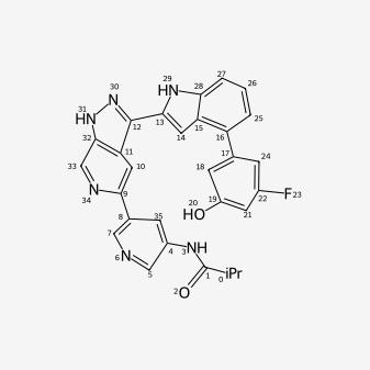 CC(C)C(=O)Nc1cncc(-c2cc3c(-c4cc5c(-c6cc(O)cc(F)c6)cccc5[nH]4)n[nH]c3cn2)c1